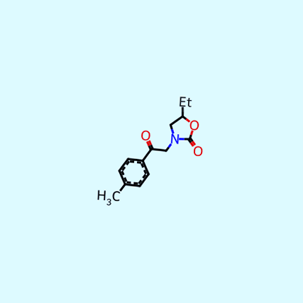 CCC1CN(CC(=O)c2ccc(C)cc2)C(=O)O1